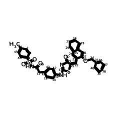 Cc1ccc(S(=O)(=O)NC(=O)Cc2ccc(NC3=NC(=O)/C(=C\c4cc5ccccc5cc4OCc4ccccc4)S3)cc2)cc1